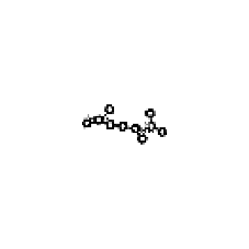 c1ccc(-c2cc(-c3ccccc3)nc(-n3c4ccccc4c4cc(-c5ccc(-c6ccc7c8cc9c(cc8n(-c8ccccc8)c7c6)oc6ccccc69)cc5)ccc43)n2)cc1